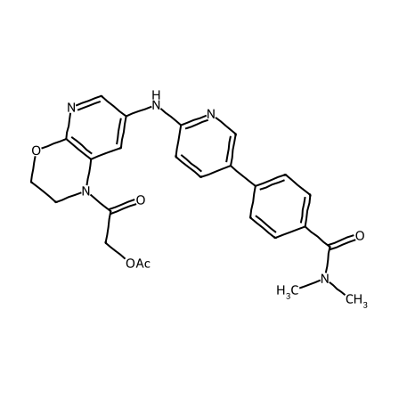 CC(=O)OCC(=O)N1CCOc2ncc(Nc3ccc(-c4ccc(C(=O)N(C)C)cc4)cn3)cc21